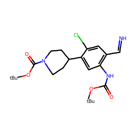 CC(C)(C)OC(=O)Nc1cc(C2CCN(C(=O)OC(C)(C)C)CC2)c(Cl)cc1C=N